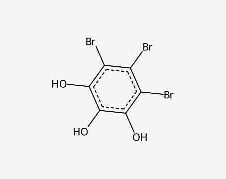 Oc1c(O)c(Br)c(Br)c(Br)c1O